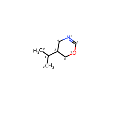 CC(C)C1CN=COC1